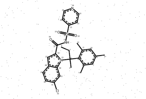 CCC(C)(c1c(C)cc(C)cc1C)n1c(C(=O)NS(=O)(=O)c2ccncc2)cc2ccc(Cl)cc21